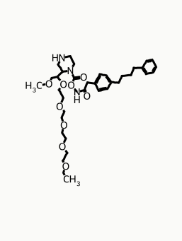 CCOCCOCCOCCOCCOC(COC)C1CNCCN1C(=O)ONC(=O)Cc1ccc(CCCCc2ccccc2)cc1